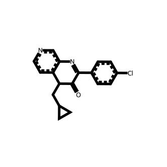 O=C1C(c2ccc(Cl)cc2)=Nc2cnccc2C1CC1CC1